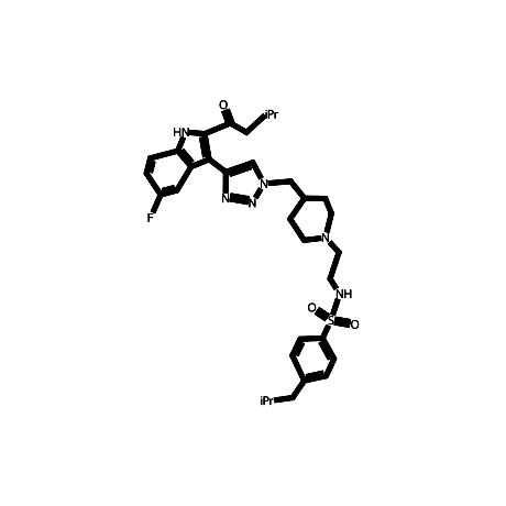 CC(C)CC(=O)c1[nH]c2ccc(F)cc2c1-c1cn(CC2CCN(CCNS(=O)(=O)c3ccc(CC(C)C)cc3)CC2)nn1